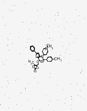 Cc1oc(=O)oc1COC(=O)c1sc(-c2ccccc2)cc1N(C(=O)C1CCC(C)CC1)C1CCN(C)CC1